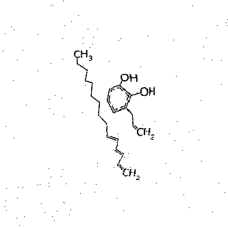 C=CC=CC=CCCCCCCCCC.C=CCc1cccc(O)c1O